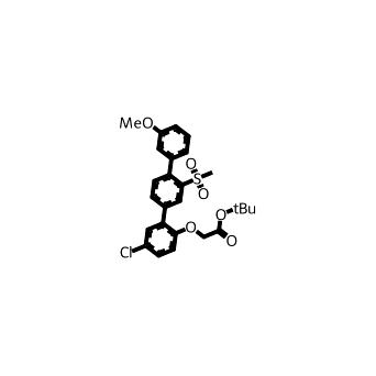 COc1cccc(-c2ccc(-c3cc(Cl)ccc3OCC(=O)OC(C)(C)C)cc2S(C)(=O)=O)c1